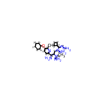 Cc1nc(/C(N)=C(\CN(N)/C(=N\N)C2CCC2)N(C)N)ccc1OC1CCCCC1